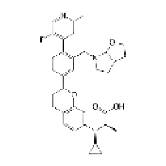 Cc1cc(-c2ccc(C3CCc4ccc([C@H](C5CC5)[C@H](C)C(=O)O)cc4O3)cc2CN2CCC3CCOC32)c(F)cn1